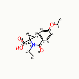 CCOc1ccc(C(=O)N(CC)C2(C(=O)O)CC2)cc1